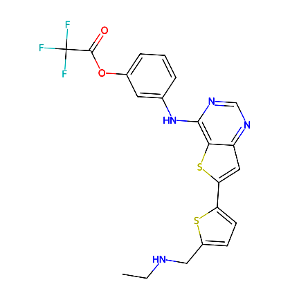 CCNCc1ccc(-c2cc3ncnc(Nc4cccc(OC(=O)C(F)(F)F)c4)c3s2)s1